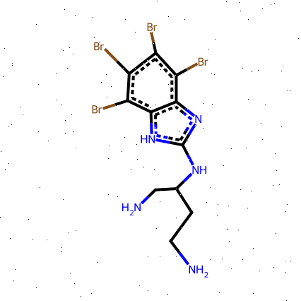 NCCC(CN)Nc1nc2c(Br)c(Br)c(Br)c(Br)c2[nH]1